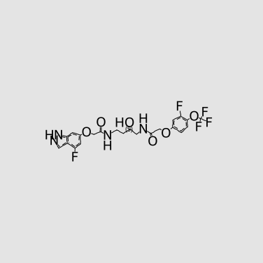 O=C(COc1cc(F)c2cn[nH]c2c1)NCC[C@H](O)CNC(=O)COc1ccc(OC(F)(F)F)c(F)c1